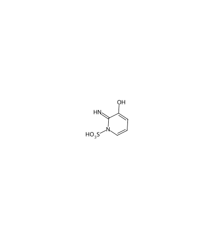 N=c1c(O)cccn1S(=O)(=O)O